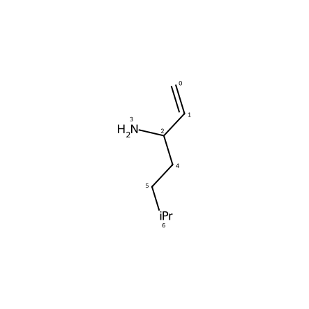 C=CC(N)CCC(C)C